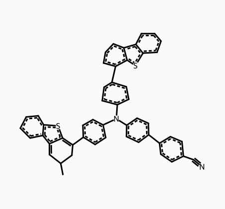 CC1C=c2c(sc3ccccc23)=C(c2ccc(N(c3ccc(-c4ccc(C#N)cc4)cc3)c3ccc(-c4cccc5c4sc4ccccc45)cc3)cc2)C1